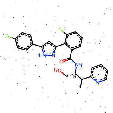 CC(c1ccccn1)[C@H](CO)NC(=O)c1cccc(F)c1-c1cc(-c2ccc(F)cc2)[nH]n1